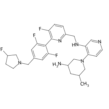 CC1CC(N)CN(c2ccncc2NCc2ccc(F)c(-c3c(F)cc(CN4CCC(F)C4)cc3F)n2)C1